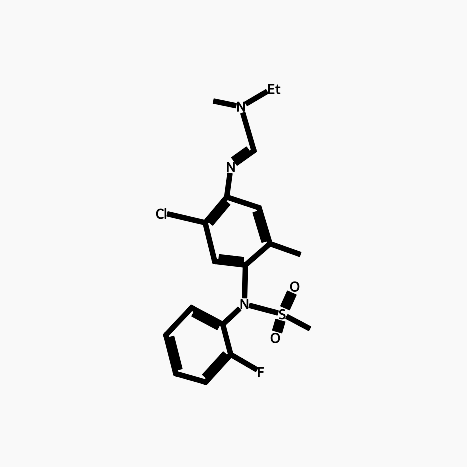 CCN(C)C=Nc1cc(C)c(N(c2ccccc2F)S(C)(=O)=O)cc1Cl